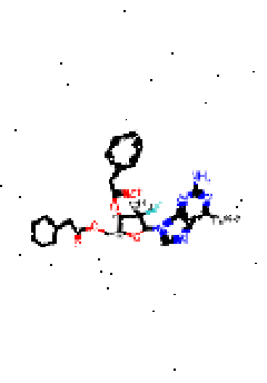 CNc1nc(N)nc2c1ncn2C1O[C@H](COC(=O)CC2CCCCC2)[C@@H](OC(=O)Cc2ccccc2)C1(C)F